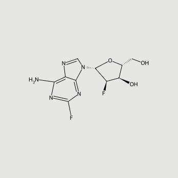 Nc1nc(F)nc2c1ncn2[C@@H]1O[C@H](CO)[C@@H](O)[C@H]1F